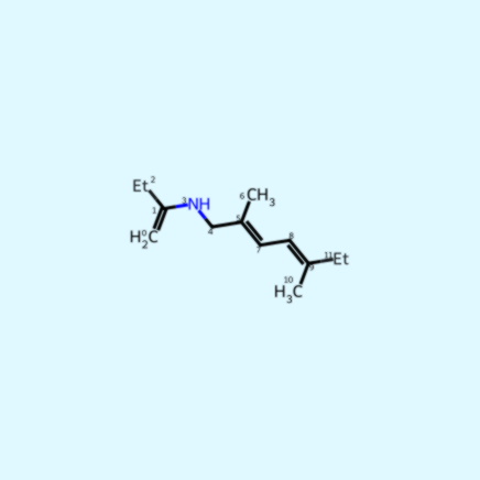 C=C(CC)NC/C(C)=C/C=C(\C)CC